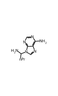 CCCC(N)n1cnc2c(N)ncnc21